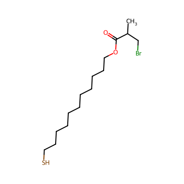 CC(CBr)C(=O)OCCCCCCCCCCCS